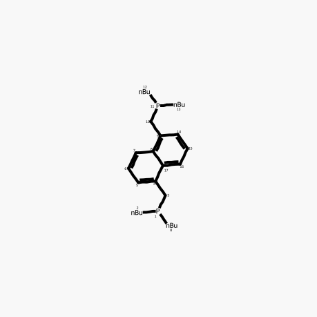 CCCCP(CCCC)Cc1cccc2c(CP(CCCC)CCCC)cccc12